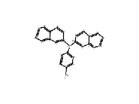 CC(C)c1ccc(N(c2ccc3ccccc3c2)c2ccc3ccccc3c2)cc1